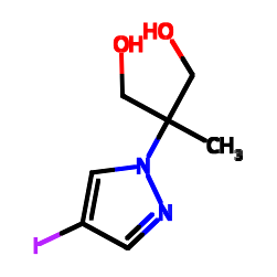 CC(CO)(CO)n1cc(I)cn1